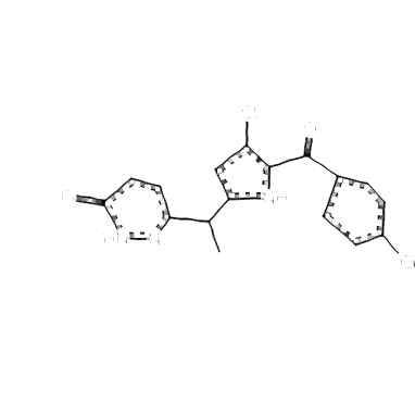 CC(c1ccc(=O)[nH]n1)c1cc(Cl)c(C(=O)c2ccc(Cl)cc2)[nH]1